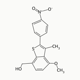 COc1ccc(CO)c2sc(-c3ccc([N+](=O)[O-])cc3)c(C)c12